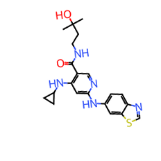 CC(C)(O)CCNC(=O)c1cnc(Nc2ccc3ncsc3c2)cc1NC1CC1